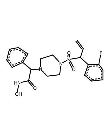 C=CC(c1ccccc1F)S(=O)(=O)N1CCN(C(C(=O)NO)c2ccccc2)CC1